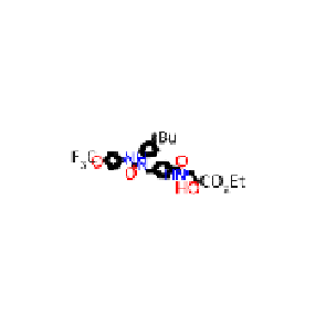 CCOC(=O)C(O)CNC(=O)c1ccc(CN(C(=O)Nc2ccc(OC(F)(F)F)cc2)c2ccc(C(C)(C)C)cc2)cc1